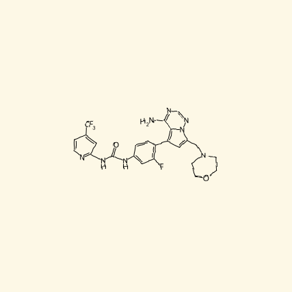 Nc1ncnn2c(CN3CCOCC3)cc(-c3ccc(NC(=O)Nc4cc(C(F)(F)F)ccn4)cc3F)c12